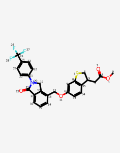 COC(=O)CC1CSc2cc(OCc3cccc4c3CN(c3ccc(C(F)(F)F)cc3)C4=O)ccc21